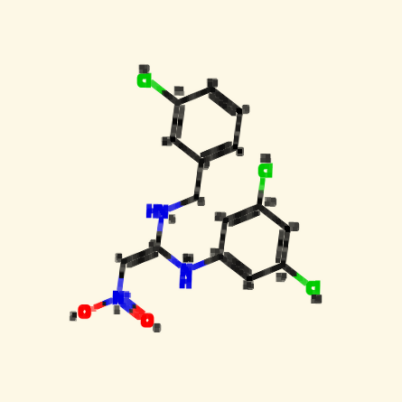 O=[N+]([O-])C=C(NCc1cccc(Cl)c1)Nc1cc(Cl)cc(Cl)c1